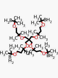 BC(C)(C)OCCC(C)(C)OCC(COC(C)(C)CCOC(B)(C)C)(COC(C)(C)CCOC(B)(C)C)COC(C)(C)CCOC(B)(C)C